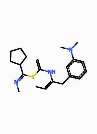 C=C(N/C(=C\C)Cc1cccc(N(C)C)c1)S/C(=N\C)C1CCCC1